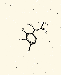 NC(=O)C(O)c1ccc(I)c(F)c1F